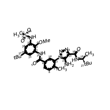 COc1c(NC(=O)c2ccc(C)c(-n3nnc(C(=O)N[C@@H](C)C(C)(C)C)c3N)c2)cc(C(C)(C)C)cc1NS(C)(=O)=O